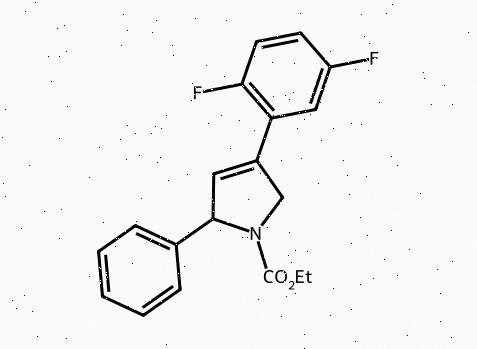 CCOC(=O)N1CC(c2cc(F)ccc2F)=CC1c1ccccc1